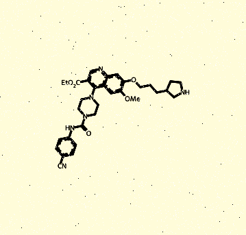 CCOC(=O)c1cnc2cc(OCCCC3CCNC3)c(OC)cc2c1N1CCN(C(=O)Nc2ccc(C#N)cc2)CC1